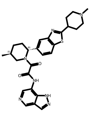 C[C@H]1CC[C@H](c2ccc3sc(C4CCN(C)CC4)nc3c2)N(C(=O)C(=O)Nc2cncc3cn[nH]c23)C1